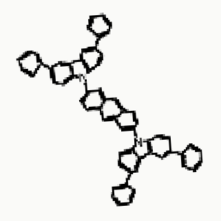 c1ccc(-c2ccc3c(c2)c2cc(-c4ccccc4)ccc2n3-c2ccc3cc4cc(-n5c6ccc(-c7ccccc7)cc6c6cc(-c7ccccc7)ccc65)ccc4cc3c2)cc1